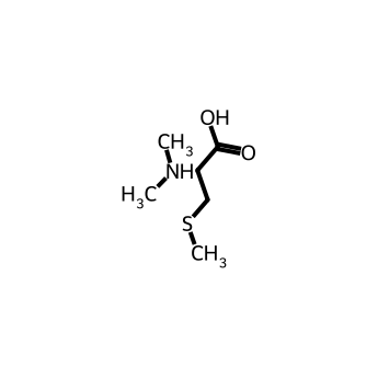 CNC.CSCCC(=O)O